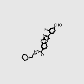 O=Cc1ccc(-c2cn3c(n2)sc2cc(C(=O)NCCCN4CCCCC4)ccc23)c(F)c1